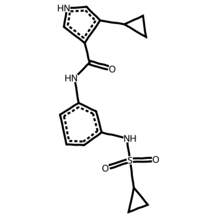 O=C(Nc1cccc(NS(=O)(=O)C2CC2)c1)c1c[nH]cc1C1CC1